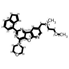 COCCN(C)Cc1cnc2oc3c(N4CCOCC4)nc(-c4cccc5c4C=CC5)nc3c2c1